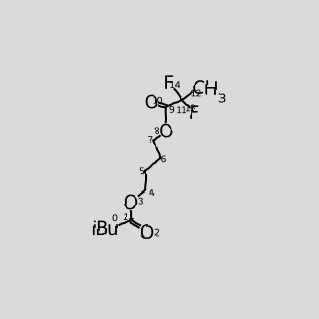 CCC(C)C(=O)OCCCCOC(=O)C(C)(F)F